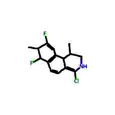 CC1CNC(Cl)=C2C=CC3=C(C=C(F)C(C)C3F)C21